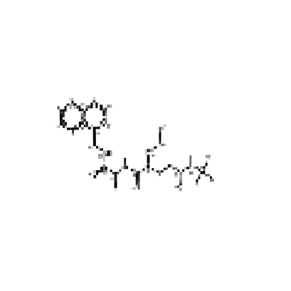 C[C@H](NC(=O)[C@H](CCC(=O)NC(C)(C)C)NSI)C(=S)NCc1cccc2ccccc12